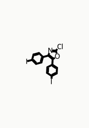 Clc1nc(-c2ccc(I)cc2)c(-c2ccc(I)cc2)o1